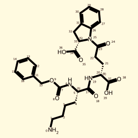 NCCCC[C@H](NC(=O)OCc1ccccc1)C(=O)N[C@H](CCC(=O)N1c2ccccc2C[C@H]1C(=O)O)C(=O)O